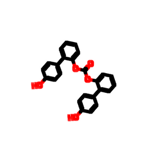 O=C(Oc1ccccc1-c1ccc(O)cc1)Oc1ccccc1-c1ccc(O)cc1